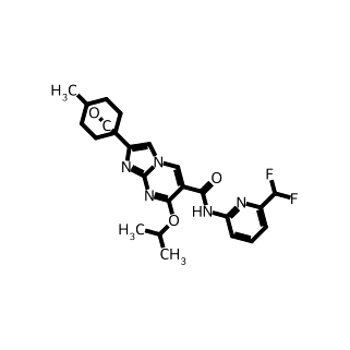 CC(C)Oc1nc2nc(C34CCC(C)(CC3)OC4)cn2cc1C(=O)Nc1cccc(C(F)F)n1